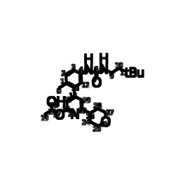 Cc1ccc(NC(=O)NCCC(C)(C)C)cc1-c1cc(OC(C)O)nc(C2CCOCC2)c1